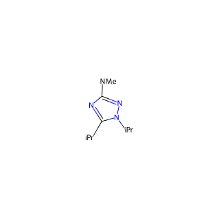 CNc1nc(C(C)C)n(C(C)C)n1